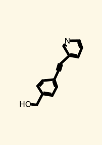 OCc1ccc(C#Cc2cccnc2)cc1